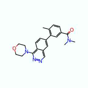 Cc1ccc(C(=O)N(C)C)cc1-c1ccc2c(N3CCOCC3)nncc2c1